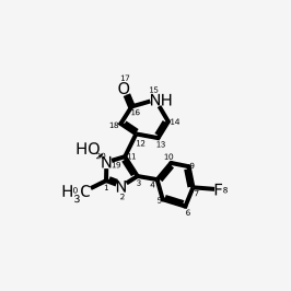 Cc1nc(-c2ccc(F)cc2)c(-c2cc[nH]c(=O)c2)n1O